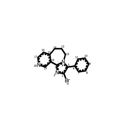 Brc1nc2n(c1-c1ccccc1)CCCc1ccncc1-2